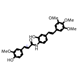 COc1cc(/C=C/C(=O)Nc2ccc(C=Cc3cc(OC)c(OC)c(OC)c3)cc2O)ccc1O